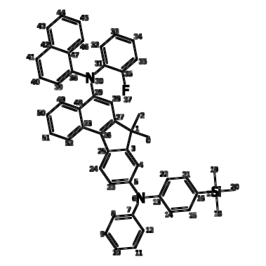 CC1(C)c2cc(N(c3ccccc3)c3ccc([Si](C)(C)C)cc3)ccc2-c2c1cc(N(c1ccccc1F)c1cccc3ccccc13)c1ccccc21